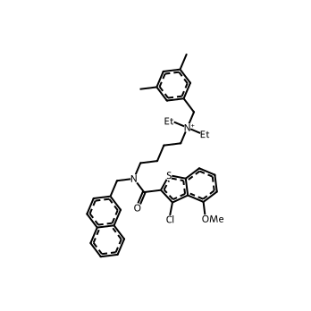 CC[N+](CC)(CCCCN(Cc1ccc2ccccc2c1)C(=O)c1sc2cccc(OC)c2c1Cl)Cc1cc(C)cc(C)c1